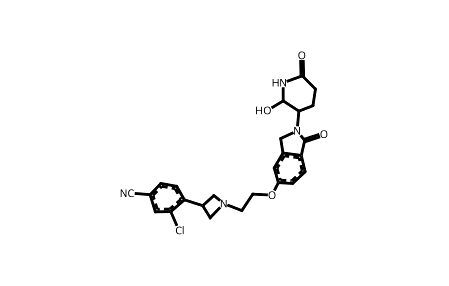 N#Cc1ccc(C2CN(CCOc3ccc4c(c3)CN(C3CCC(=O)NC3O)C4=O)C2)c(Cl)c1